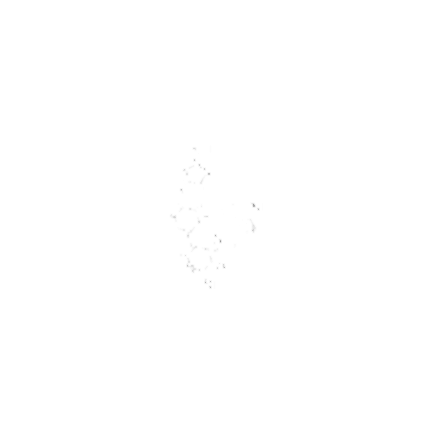 Cn1cc(Oc2ccc(-c3cnc(N)c(Cl)c3N3CCC4(CCNC4=O)CC3)cc2)cn1